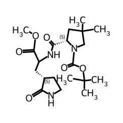 COC(=O)C(C[C@@H]1CCNC1=O)NC(=O)[C@@H]1CC(C)(C)CN1C(=O)OC(C)(C)C